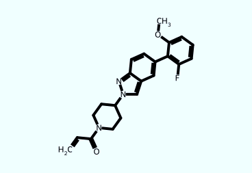 C=CC(=O)N1CCC(n2cc3cc(-c4c(F)cccc4OC)ccc3n2)CC1